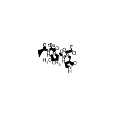 CC1(C)C[C@@H](C(=O)NN(C[C@@H]2CCNC2=O)C(=O)[C@H](F)Cl)N(C(=O)[C@@H](NC(=O)C2CC2)C(C)(C)C)C1